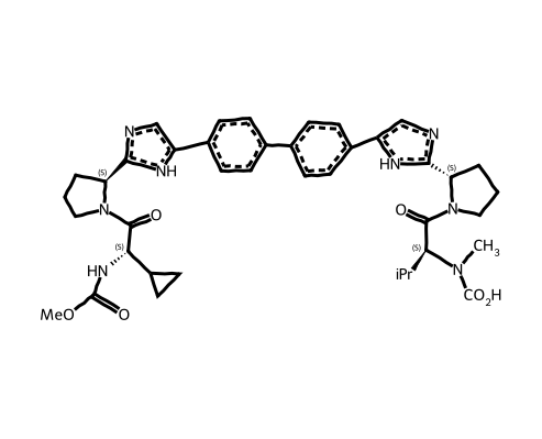 COC(=O)N[C@H](C(=O)N1CCC[C@H]1c1ncc(-c2ccc(-c3ccc(-c4cnc([C@@H]5CCCN5C(=O)[C@H](C(C)C)N(C)C(=O)O)[nH]4)cc3)cc2)[nH]1)C1CC1